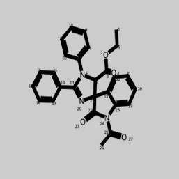 CCOC(=O)C1N(c2ccccc2)C(c2ccccc2)=NC12C(=O)N(C(C)=O)c1ccccc12